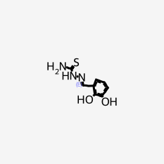 NC(=S)N/N=C/c1cccc(O)c1O